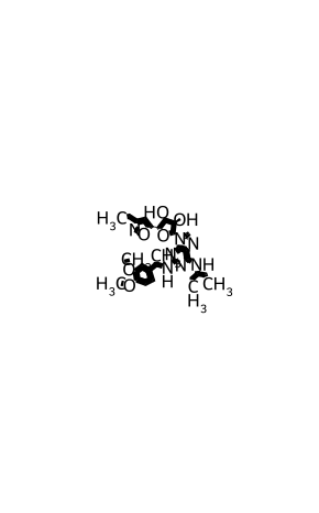 CCc1cc([C@H]2O[C@@H](n3cnc4c(NC(CC)CC)nc(NC(C)c5ccc(OC)c(OC)c5)nc43)[C@H](O)[C@@H]2O)on1